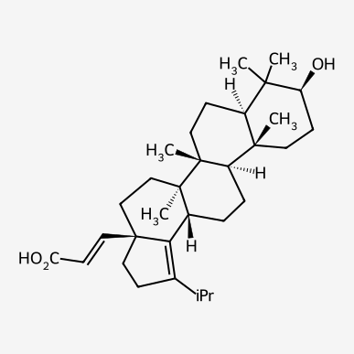 CC(C)C1=C2[C@H]3CC[C@@H]4[C@@]5(C)CC[C@H](O)C(C)(C)[C@@H]5CC[C@@]4(C)[C@]3(C)CC[C@@]2(/C=C/C(=O)O)CC1